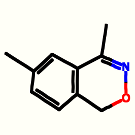 CC1=NOCc2ccc(C)cc21